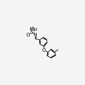 Cc1cccc(Oc2cccc(C=N[S+]([O-])C(C)(C)C)c2)c1